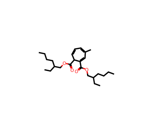 CCCCC(CC)COC(=O)C1=CC(C)=CC=CC1C(=O)OCC(CC)CCCC